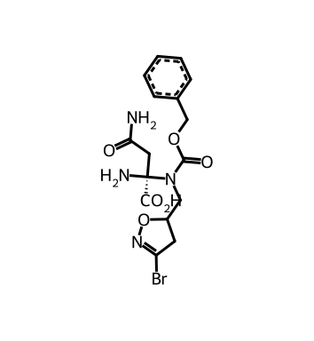 NC(=O)C[C@@](N)(C(=O)O)N(CC1CC(Br)=NO1)C(=O)OCc1ccccc1